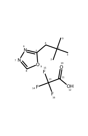 CC(C)(C)Cc1nnco1.O=C(O)C(F)(F)F